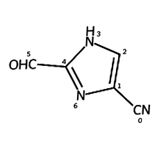 N#Cc1c[nH]c(C=O)n1